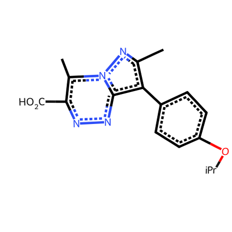 Cc1nn2c(C)c(C(=O)O)nnc2c1-c1ccc(OC(C)C)cc1